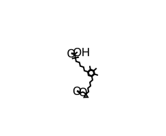 Cc1c(CCCCCC2(OC=O)CC2)cc(CCCCCC(C)(C)C(=O)O)c(C)c1C